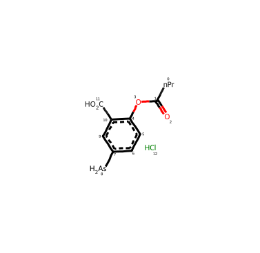 CCCC(=O)Oc1ccc([AsH2])cc1C(=O)O.Cl